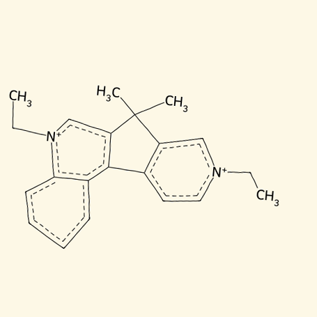 CC[n+]1ccc2c(c1)C(C)(C)c1c[n+](CC)c3ccccc3c1-2